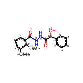 COc1cccc(C(=O)NNC(=O)C(O)c2ccccc2)c1OC